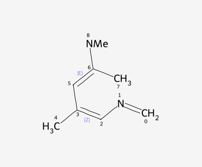 C=N/C=C(C)\C=C(/C)NC